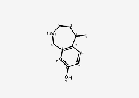 CC1CCNCc2nc(O)ccc21